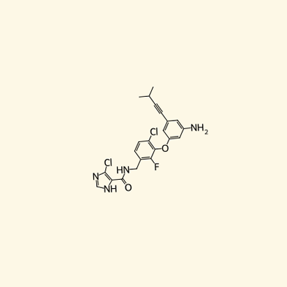 CC(C)C#Cc1cc(N)cc(Oc2c(Cl)ccc(CNC(=O)c3[nH]cnc3Cl)c2F)c1